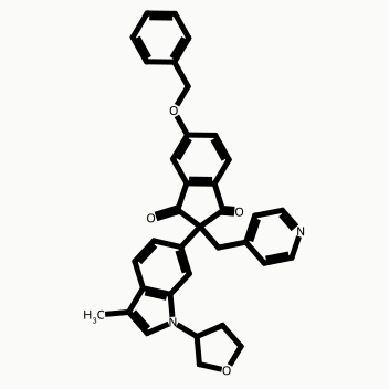 Cc1cn(C2CCOC2)c2cc(C3(Cc4ccncc4)C(=O)c4ccc(OCc5ccccc5)cc4C3=O)ccc12